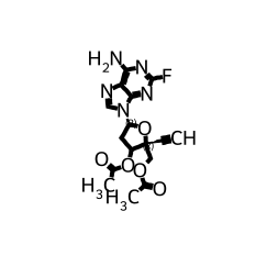 C#C[C@]1(COC(C)=O)O[C@@H](n2cnc3c(N)nc(F)nc32)CC1OC(C)=O